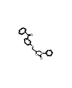 O=C(c1ccccc1)c1cccc(OCC2CN(c3ccccc3)C(=O)O2)c1